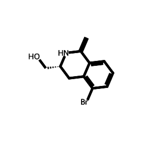 C=C1N[C@@H](CO)Cc2c(Br)cccc21